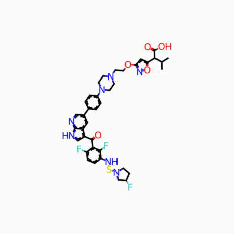 CC(C)C(C(=O)O)c1cc(OCCN2CCN(c3ccc(-c4cnc5[nH]cc(C(=O)c6c(F)ccc(NSN7CC[C@@H](F)C7)c6F)c5c4)cc3)CC2)no1